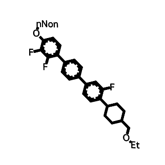 CCCCCCCCCOc1ccc(-c2ccc(-c3ccc(C4CCC(COCC)CC4)c(F)c3)cc2)c(F)c1F